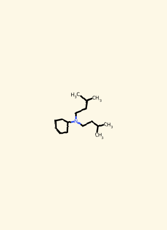 CC(C)CCN(CCC(C)C)C1CCCCC1